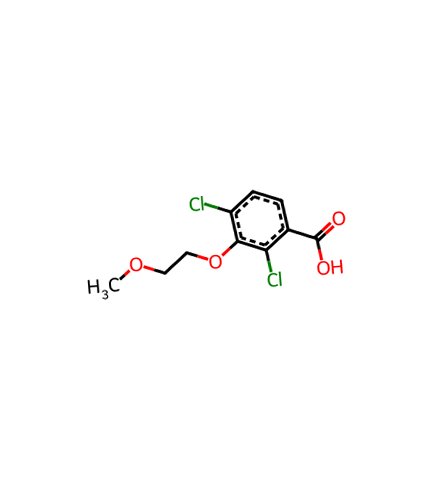 COCCOc1c(Cl)ccc(C(=O)O)c1Cl